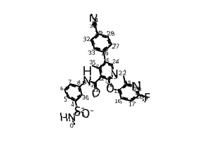 CN[S@+]([O-])c1cccc(NC(=O)c2c(Oc3ccc(F)nc3C)ncc(-c3ccc(C#N)cc3)c2C)c1